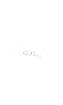 CCOC1CCCCN1c1ccc2c(c1)C(=O)c1cc(OC)cc(OC)c1C2=O